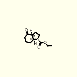 CCOC(=O)N1CC[C@H]2C(=O)CCC[C@H]21